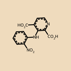 O=C(O)c1ccnc(C(=O)O)c1Nc1ccccc1[N+](=O)[O-]